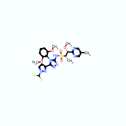 COc1cccc(OC)c1-n1c(NS(=O)(=O)[C@@H](C)[C@H](OC)c2ncc(C)cn2)nnc1-c1ccn(C(F)F)n1